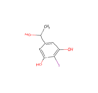 CC(O)c1cc(O)c(I)c(O)c1